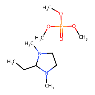 CCC1N(C)CCN1C.COP(=O)(OC)OC